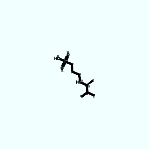 CC(C)[C@H](C)NCCCS(=O)(=O)O